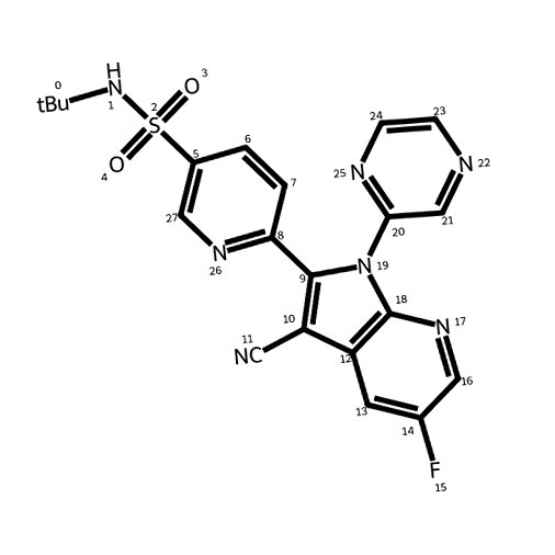 CC(C)(C)NS(=O)(=O)c1ccc(-c2c(C#N)c3cc(F)cnc3n2-c2cnccn2)nc1